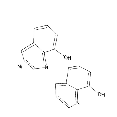 Oc1cccc2cccnc12.Oc1cccc2cccnc12.[Ni]